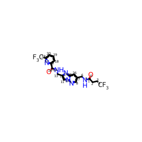 O=C(CCC(F)(F)F)NCc1cnn2cc(CNC(=O)c3cccc(C(F)(F)F)n3)nc2c1